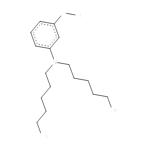 CCCCCCN(CCCCCC)c1cccc(OC)c1